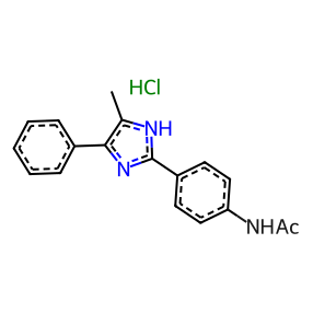 CC(=O)Nc1ccc(-c2nc(-c3ccccc3)c(C)[nH]2)cc1.Cl